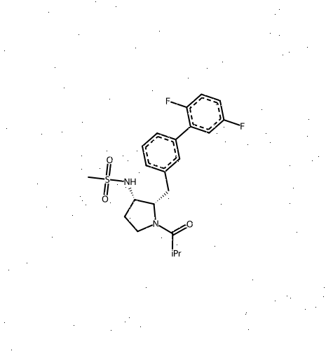 CC(C)C(=O)N1CC[C@H](NS(C)(=O)=O)[C@@H]1Cc1cccc(-c2cc(F)ccc2F)c1